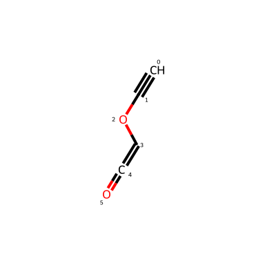 C#COC=C=O